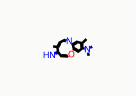 Cc1cc2nccc(C)c(=N)ccoc2cc1N(C)C